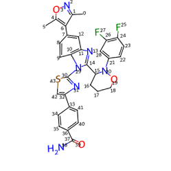 Cc1noc(C)c1-c1ccc2c(c1)nc(C1CCCON1c1ccc(F)c(F)c1)n2-c1nc(-c2ccc(C(N)=O)cc2)cs1